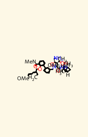 C=C/C(=C\C=C\OC)COc1c(C(=O)NC)cccc1-c1cccc(CN2O[C@@H](CN)[C@@H]([C@H](C)O)[C@H]2C(=O)N[C@H]2C[C@H]3C[C@@H]([C@@H]2C)C3(C)C)c1OC